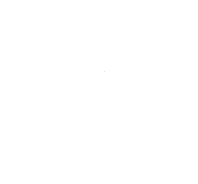 Cc1ccc(N(c2cccc3c2oc2c(C4CCCCC4)cccc23)c2c3ccccc3c(N(c3ccc(C)cc3)c3cccc4c3oc3c(C5CCCCC5)cccc34)c3c2oc2ccccc23)cc1